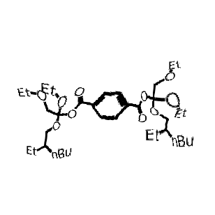 CCCCC(CC)COC(COCC)(OCC)OC(=O)c1ccc(C(=O)OC(COCC)(OCC)OCC(CC)CCCC)cc1